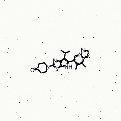 Cc1c(-c2[nH]c3sc(N4CCC(=O)CC4)nc3c2C(C)C)cn2ncnc2c1C